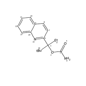 CCC(OC(N)=O)(c1ccc2ccccc2n1)C(C)(C)C